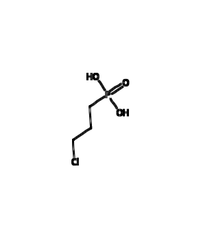 O=P(O)(O)CCCCl